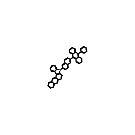 c1ccc(-c2c3ccccc3c(-c3ccc4cc(-n5c6ccccc6c6c7cc8ccccc8cc7ccc65)ccc4c3)c3ccccc23)cc1